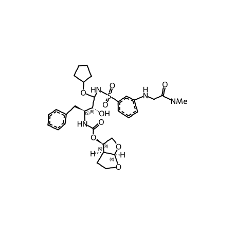 CNC(=O)CNc1cccc(S(=O)(=O)NC(OC2CCCC2)[C@H](O)[C@H](Cc2ccccc2)NC(=O)O[C@H]2CO[C@H]3OCC[C@H]32)c1